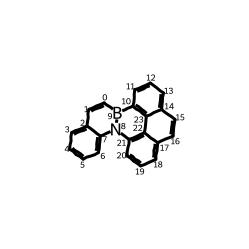 C1=Cc2ccccc2N2B1c1cccc3ccc4cccc2c4c13